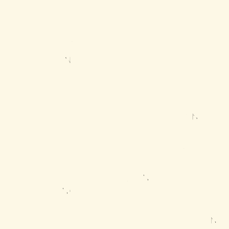 N#Cc1ccc(-n2c3ccc(C#N)cc3c3cc(C#N)ccc32)c(-c2cccc(-c3ccc(N4c5ccccc5C5C=CC=CC54)cc3)c2)c1